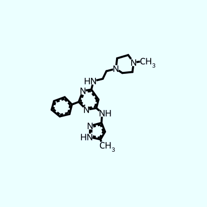 Cc1cc(Nc2cc(NCCN3CCN(C)CC3)nc(-c3ccccc3)n2)n[nH]1